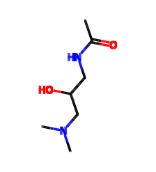 CC(=O)NCC(O)CN(C)C